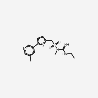 CCNC(=N)N(C)S(=O)(=O)Cc1ccc(-c2cncc(C)c2)s1